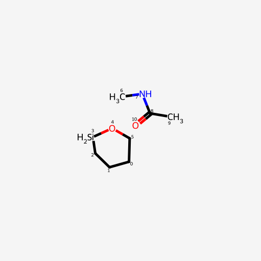 C1CC[SiH2]OC1.CNC(C)=O